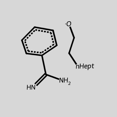 CCCCCCCCC[O].N=C(N)c1ccccc1